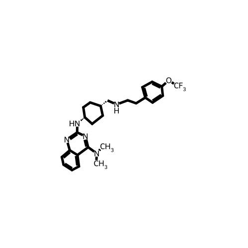 CN(C)c1nc(N[C@H]2CC[C@@H](CNCCc3ccc(OC(F)(F)F)cc3)CC2)nc2ccccc12